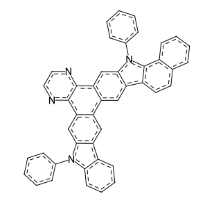 c1ccc(-n2c3ccccc3c3cc4c5cc6c7ccc8ccccc8c7n(-c7ccccc7)c6cc5c5nccnc5c4cc32)cc1